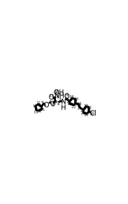 O=C(NCC[C@H](OCOCc1ccccc1)C(=O)NO)c1ccc(C=Cc2ccc(Cl)cc2)cc1